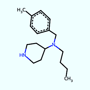 CCCCN(Cc1ccc(C)cc1)C1CCNCC1